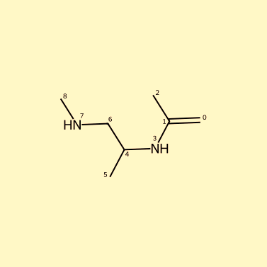 C=C(C)NC(C)CNC